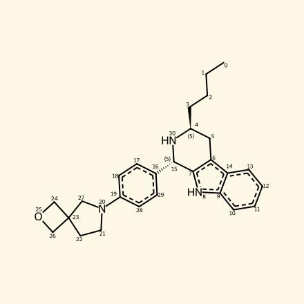 CCCC[C@H]1Cc2c([nH]c3ccccc23)[C@H](c2ccc(N3CCC4(COC4)C3)cc2)N1